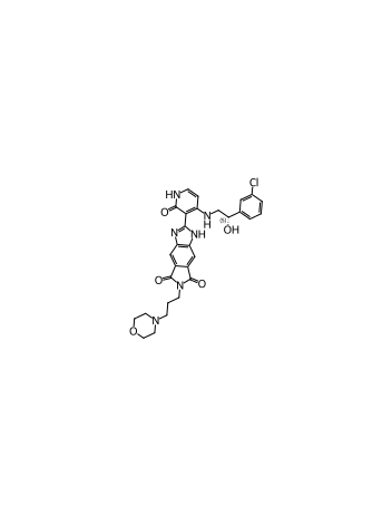 O=C1c2cc3nc(-c4c(NC[C@@H](O)c5cccc(Cl)c5)cc[nH]c4=O)[nH]c3cc2C(=O)N1CCCN1CCOCC1